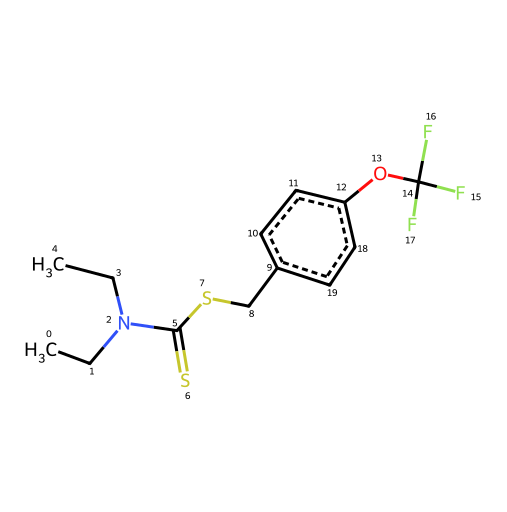 CCN(CC)C(=S)SCc1ccc(OC(F)(F)F)cc1